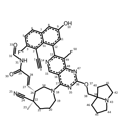 C#Cc1c(F)ccc2cc(O)cc(-c3ncc4c(N5CCC[C@@](C)(C#N)[C@H](C=CC(=O)NC=O)C5)nc(OCC56CCCN5CCC6)nc4c3F)c12